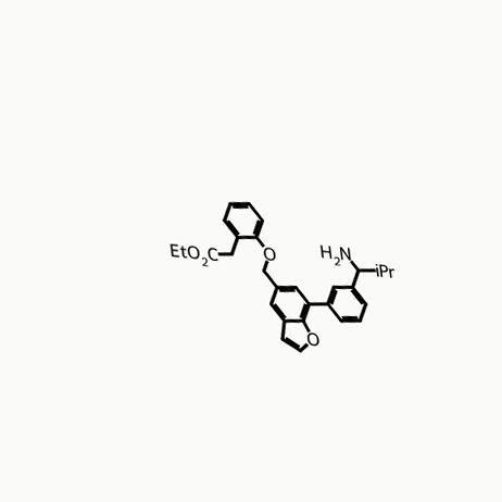 CCOC(=O)Cc1ccccc1OCc1cc(-c2cccc(C(N)C(C)C)c2)c2occc2c1